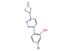 Oc1cc(Br)ccc1-c1ccc(C2CNC2)nn1